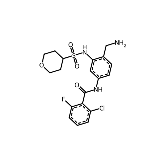 NCc1ccc(NC(=O)c2c(F)cccc2Cl)cc1NS(=O)(=O)C1CCOCC1